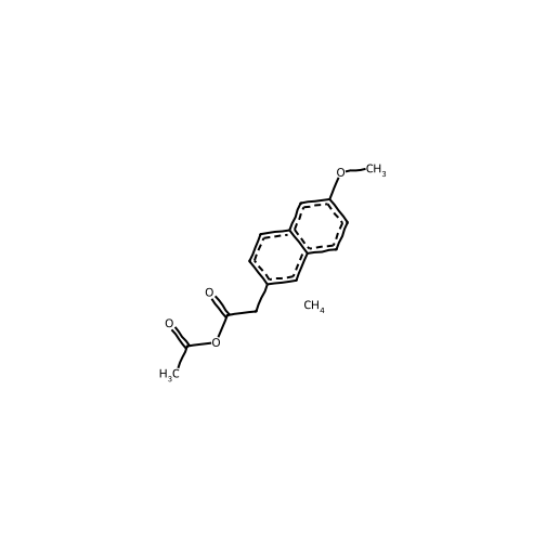 C.COc1ccc2cc(CC(=O)OC(C)=O)ccc2c1